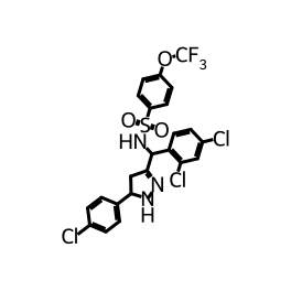 O=S(=O)(NC(C1=NNC(c2ccc(Cl)cc2)C1)c1ccc(Cl)cc1Cl)c1ccc(OC(F)(F)F)cc1